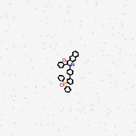 O=P(c1ccccc1)(c1ccccc1)c1cccc(-c2ccc(-c3nc4cc5ccccc5cc4c4oc5ccccc5c34)cc2)c1